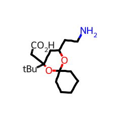 CC(C)(C)C1(CC(=O)O)CC(CCN)OC2(CCCCC2)O1